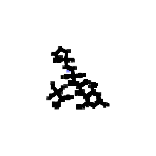 CC(C)c1cc(F)cc(C(C)C)c1NC(=O)NS(=O)(=O)/C=C/C1(C)CCCN1.O=C(O)C(F)(F)F